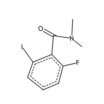 CN(C)C(=O)c1c(F)cccc1I